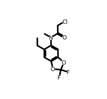 CCc1cc2c(cc1N(C)C(=O)CCl)OC(F)(F)O2